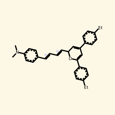 CCc1ccc(C2=CC(/C=C/C=C/c3ccc(N(C)C)cc3)OC(c3ccc(CC)cc3)=C2)cc1